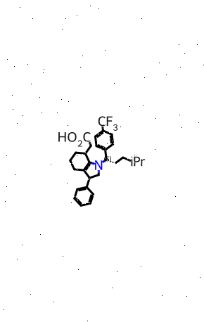 CC(C)CC[C@@H](c1ccc(C(F)(F)F)cc1)N1CC(c2ccccc2)C2=C1C(CC(=O)O)CCC2